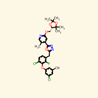 Cc1cnc(OC[C@@H]2OC(C)(C)OC2(C)C)cc1-c1nnc(Cc2ccc(Cl)c(Oc3cc(Cl)cc(C#N)c3)c2F)o1